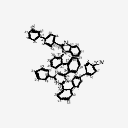 N#Cc1ccc(-c2ccc(-c3ccccc3-c3nc(-c4ccccc4)nc(-c4ccccc4-c4ccccc4-n4c(-c5ccc(-c6ccccc6)cc5)nc5ccccc54)n3)cc2)cc1